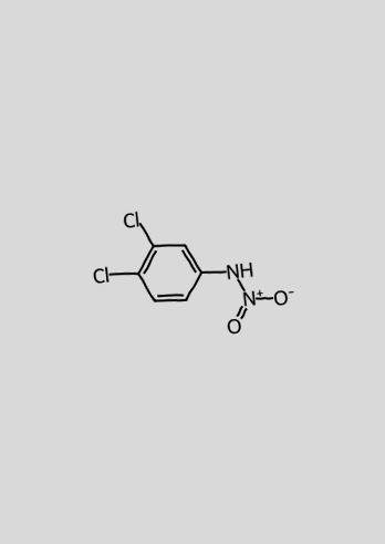 O=[N+]([O-])Nc1ccc(Cl)c(Cl)c1